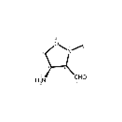 CN1OC[C@H](N)C1C=O